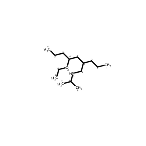 CCCC(CNC(C)C)CC(CCC)OCC